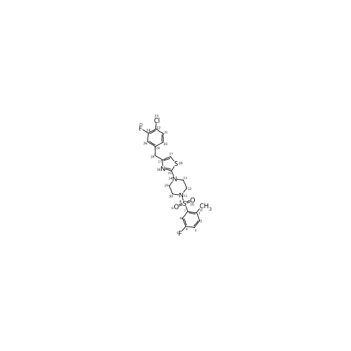 Cc1ccc(F)cc1S(=O)(=O)N1CCN(c2nc(Cc3ccc(Cl)c(F)c3)cs2)CC1